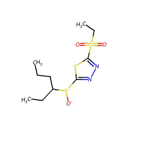 CCCC(CC)[S+]([O-])c1nnc(S(=O)(=O)CC)s1